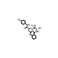 CC(C)[C@H](Nc1nc(CNC(=O)Nc2ccc(Cl)cc2)nc2ccccc12)C(N)=O